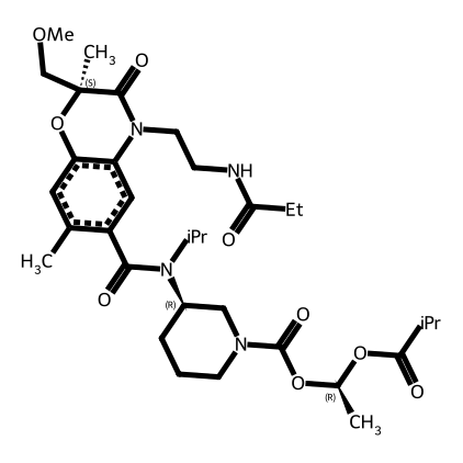 CCC(=O)NCCN1C(=O)[C@](C)(COC)Oc2cc(C)c(C(=O)N(C(C)C)[C@@H]3CCCN(C(=O)O[C@H](C)OC(=O)C(C)C)C3)cc21